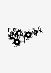 CN(C)C1CN(c2ccc(Nc3ncc(C(F)(F)F)c(N4OCCC4c4ccccc4)n3)cc2)C1